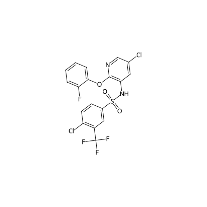 O=S(=O)(Nc1cc(Cl)cnc1Oc1ccccc1F)c1ccc(Cl)c(C(F)(F)F)c1